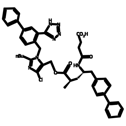 CCCCc1nc(Cl)c(COC(=O)[C@H](C)C[C@@H](Cc2ccc(-c3ccccc3)cc2)NC(=O)CCC(=O)O)n1Cc1ccc(-c2ccccc2)cc1-c1nnn[nH]1